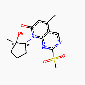 Cc1cc(=O)n([C@@H]2CCC[C@@]2(C)O)c2nc(S(C)(=O)=O)ncc12